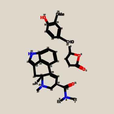 CC1CCC(=O)O1.CCN(CC)C(=O)[C@@H]1C=C2c3cccc4[nH]cc(c34)C[C@H]2N(C)C1.COc1cc(C=O)ccc1O